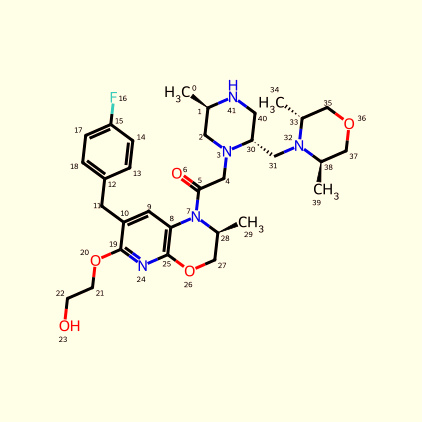 C[C@@H]1CN(CC(=O)N2c3cc(Cc4ccc(F)cc4)c(OCCO)nc3OC[C@@H]2C)[C@@H](CN2[C@H](C)COC[C@H]2C)CN1